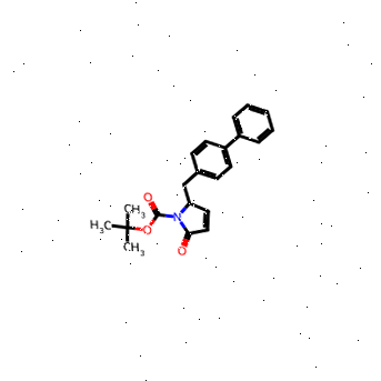 CC(C)(C)OC(=O)N1C(=O)C=CC1Cc1ccc(-c2ccccc2)cc1